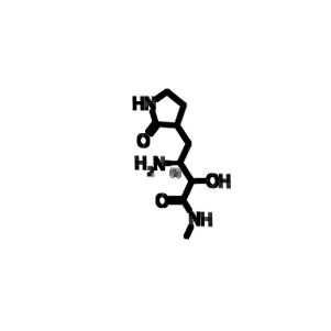 CNC(=O)C(O)[C@@H](N)CC1CCNC1=O